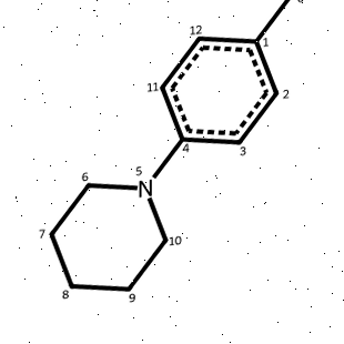 [CH2]c1ccc(N2CCCCC2)cc1